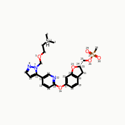 C[SiH](C)CCOCn1nccc1-c1ccc(Oc2ccc3c(c2)O[C@H](COS(C)(=O)=O)C3)nc1